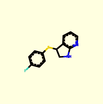 Fc1ccc(SC2CNc3ncccc32)cc1